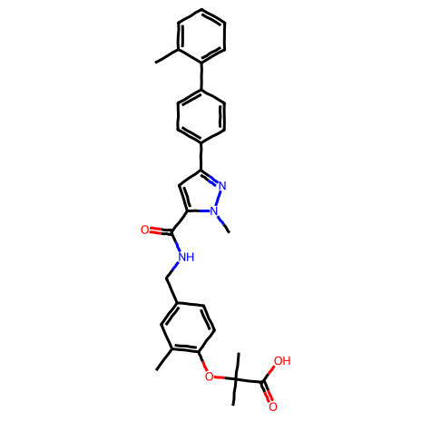 Cc1cc(CNC(=O)c2cc(-c3ccc(-c4ccccc4C)cc3)nn2C)ccc1OC(C)(C)C(=O)O